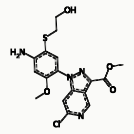 COC(=O)c1nn(-c2cc(SCCO)c(N)cc2OC)c2cc(Cl)ncc12